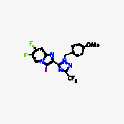 COc1ccc(Cn2nc(C(F)(F)F)nc2-c2nc3cc(F)c(F)cn3c2I)cc1